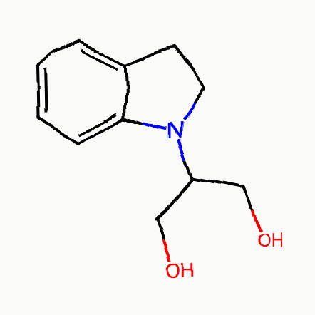 OCC(CO)N1CCc2ccccc21